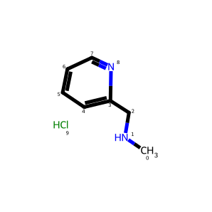 CNCc1ccccn1.Cl